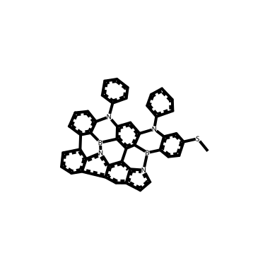 CSc1ccc2c(c1)N(c1ccccc1)c1cc3c4c5c1B2n1ccc2cc6c7cccc8c7n(c6c-5c21)B4c1c-8cccc1N3c1ccccc1